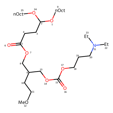 CCCCCCCCOC(CCC(=O)OCC(CCOC)COC(=O)OCCCN(CC)CC)OCCCCCCCC